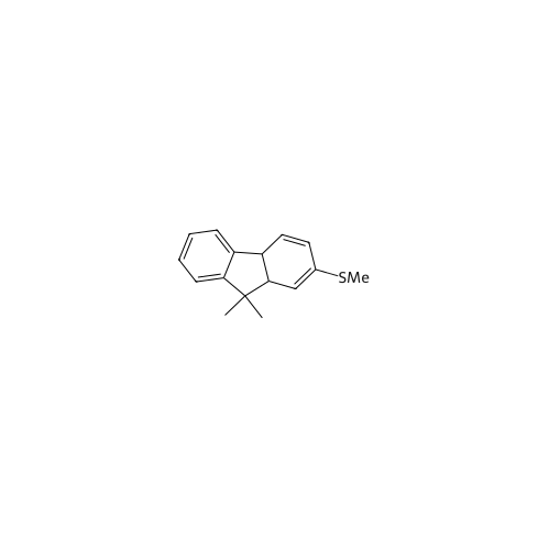 CSC1=CC2C(C=C1)c1ccccc1C2(C)C